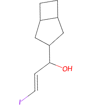 OC(/C=C/I)C1CC2CCC2C1